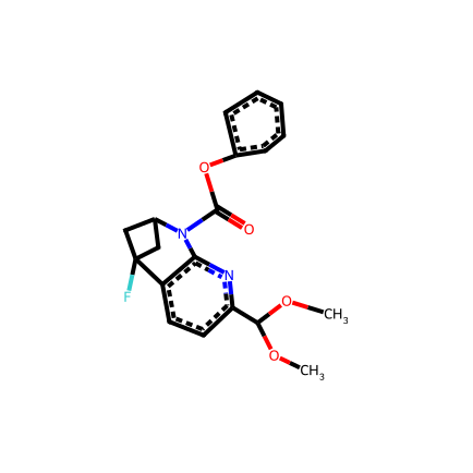 COC(OC)c1ccc2c(n1)N(C(=O)Oc1ccccc1)C1CC2(F)C1